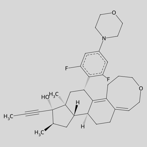 CC#C[C@]1(O)[C@H](C)C[C@H]2[C@@H]3CC/C4=C/COCCCC4=C3[C@@H](c3c(F)cc(N4CCOCC4)cc3F)C[C@@]21C